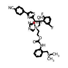 C[C@@H](c1nc(-c2ccc(C#N)cc2)cs1)[C@](O)(C[N+]1(CCOC(=O)Nc2ccccc2CN(C)C)C=NC=N1)c1cc(F)ccc1F